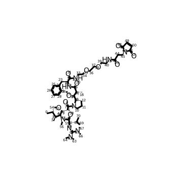 CC[C@H](C)[C@@H]([C@@H](CC(=O)N1CCC[C@H]1[C@H](OC)[C@@H](C)C(=O)N[C@@H](Cc1ccccc1)C(=O)NCCOCCOCCNC(=O)CCN1C(=O)C=CC1=O)OC)N(C)C(=O)[C@@H](N=C(N(C)C)N(C)C)C(C)C